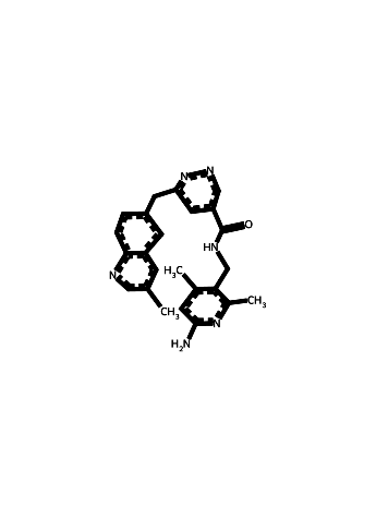 Cc1cnc2ccc(Cc3cc(C(=O)NCc4c(C)cc(N)nc4C)cnn3)cc2c1